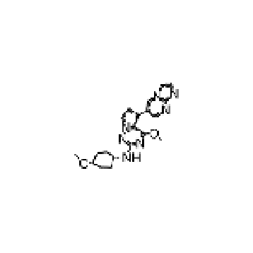 COc1nc(N[C@H]2CC[C@@H](OC)CC2)nn2ccc(-c3cnc4nccn4c3)c12